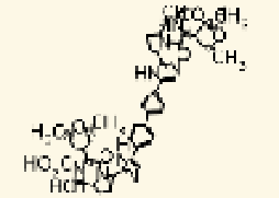 C#CC1CCC(c2ncc(-c3ccc(-c4ccc(-c5cnc(C6CCC(C#C)N6C(=O)[C@@H](NC(=O)O)C6C[C@@H](C)O[C@H](C)C6)[nH]5)cc4)cc3)[nH]2)N1C(=O)[C@@H](NC(=O)O)C1C[C@@H](C)O[C@H](C)C1